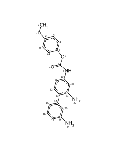 COc1ccc(OC(=O)Nc2ccc(-c3cccc(N)c3)c(N)c2)cc1